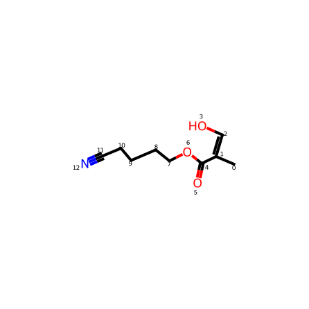 CC(=CO)C(=O)OCCCCC#N